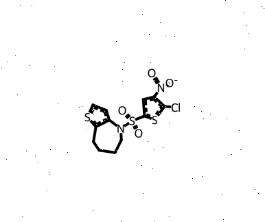 O=[N+]([O-])c1cc(S(=O)(=O)N2CCCCc3sccc32)sc1Cl